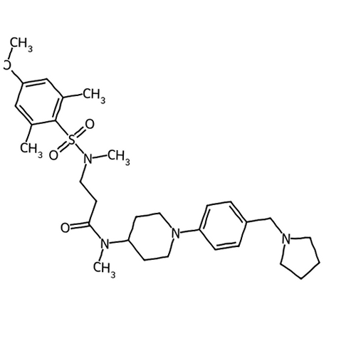 COc1cc(C)c(S(=O)(=O)N(C)CCC(=O)N(C)C2CCN(c3ccc(CN4CCCC4)cc3)CC2)c(C)c1